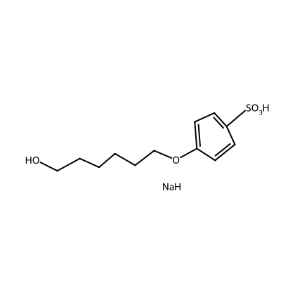 O=S(=O)(O)c1ccc(OCCCCCCO)cc1.[NaH]